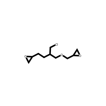 ClCC(CCC1CO1)COCC1CO1